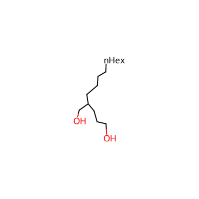 CCCCCCCCCCC(CO)CCCO